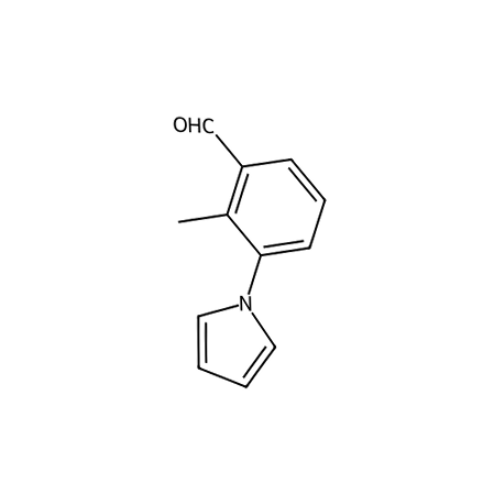 Cc1c(C=O)cccc1-n1cccc1